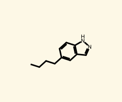 CCCCc1ccc2[nH]ncc2c1